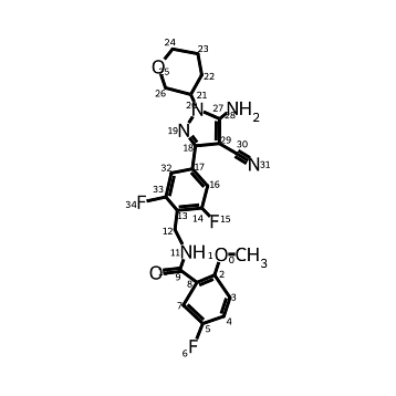 COc1ccc(F)cc1C(=O)NCc1c(F)cc(-c2nn(C3CCCOC3)c(N)c2C#N)cc1F